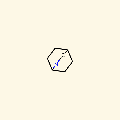 C1CC2CCC1C[N]2